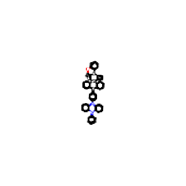 c1ccc(N2c3ccccc3N(c3ccc(B4c5ccccc5[Si]5(c6ccccc64)c4ccccc4B4c6ccccc6Oc6cccc5c64)cc3)c3ccccc32)cc1